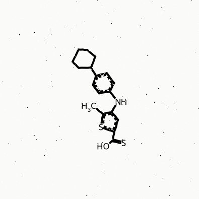 Cc1sc(C(O)=S)cc1Nc1ccc(C2CCCCC2)cc1